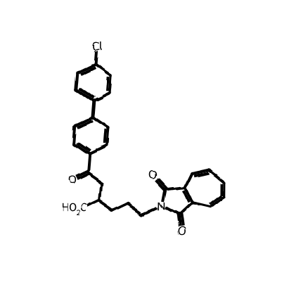 O=C(CC(CCCN1C(=O)C2=C(C=CC=C=C2)C1=O)C(=O)O)c1ccc(-c2ccc(Cl)cc2)cc1